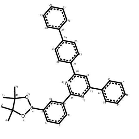 CC1(C)OB(c2cccc(-c3nc(-c4ccccc4)cc(-c4ccc(-c5ccccc5)cc4)n3)c2)OC1(C)C